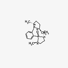 C[C@@H]1CC[C@@H](C)P1c1ccccc1P1(=O)[C@H](C)CC[C@H]1C